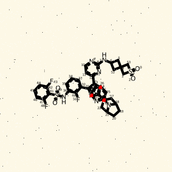 O=S1(=O)CC2(CC(Nc3nccc(-c4sc(N5CC6CCC(C5)N6c5ccccn5)nc4-c4cccc(NS(=O)(=O)c5c(F)cccc5F)c4F)n3)C2)C1